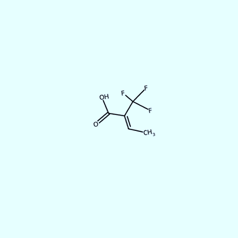 CC=C(C(=O)O)C(F)(F)F